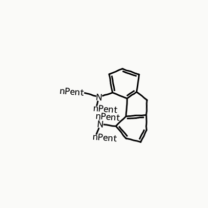 CCCCCN(CCCCC)c1cccc2c1-c1c(cccc1N(CCCCC)CCCCC)C2